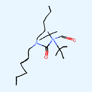 CCCCCCN(CCCCC)C(=O)[N+]([C]=O)(C(C)(C)C)C(C)(C)C